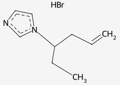 Br.C=CCC(CC)n1ccnc1